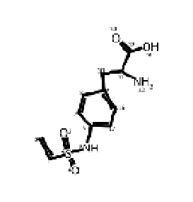 C=CS(=O)(=O)Nc1ccc(CC(N)C(=O)O)cc1